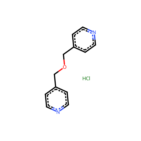 Cl.c1cc(COCc2ccncc2)ccn1